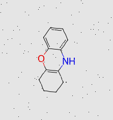 [CH]1CCCC2=C1Nc1ccccc1O2